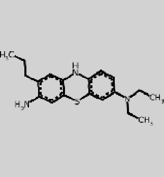 CCCc1cc2c(cc1N)Sc1cc(N(CC)CC)ccc1N2